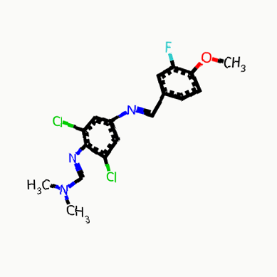 COc1ccc(C=Nc2cc(Cl)c(N=CN(C)C)c(Cl)c2)cc1F